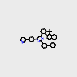 CC1(C)c2cccc(-c3cc(-c4ccc(-c5cccnc5)cc4)nc(-c4cccc(-c5ccccc5)c4)n3)c2-c2ccc3ccccc3c21